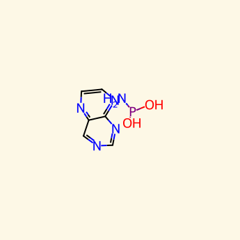 NP(O)O.c1cnc2ncncc2n1